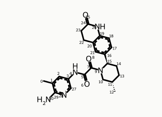 Cc1cc(NC(=O)C(=O)N2C[C@@H](C)CC[C@@H]2c2ccc3c(c2)CCC(=O)N3)cnc1N